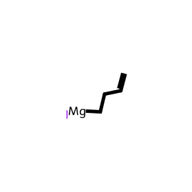 C=CC[CH2][Mg][I]